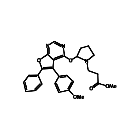 COC(=O)CCN1CCCC1Oc1ncnc2oc(-c3ccccc3)c(-c3ccc(OC)cc3)c12